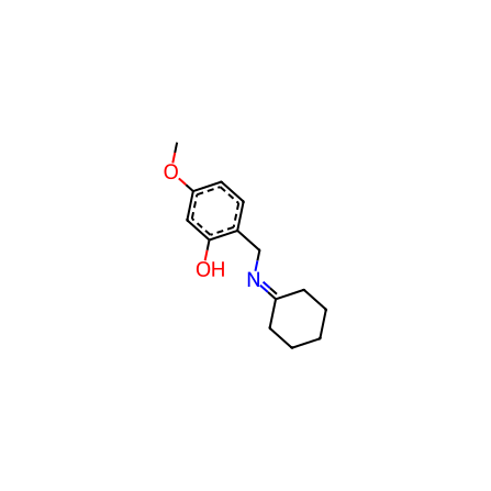 COc1ccc(CN=C2CCCCC2)c(O)c1